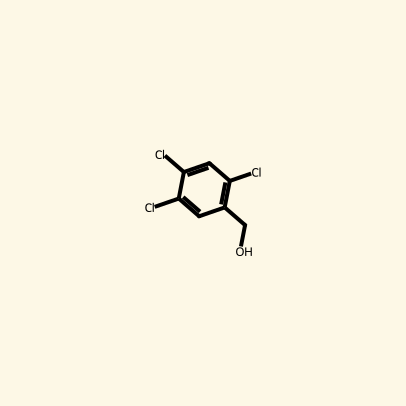 OCc1cc(Cl)c(Cl)cc1Cl